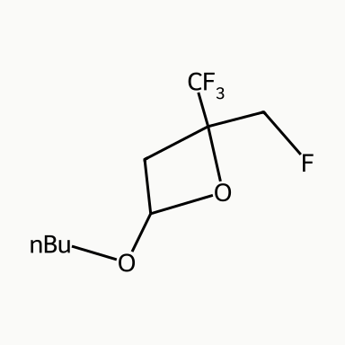 CCCCOC1CC(CF)(C(F)(F)F)O1